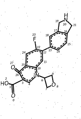 O=C(O)c1cn(C2COC2)c2cc(-c3ccc4c(c3)CNC4)c(F)cc2c1=O